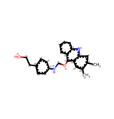 Cc1cc2nc3ccccc3c(OCNc3ccc(CCO)cc3)c2cc1C